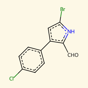 O=Cc1[nH]c(Br)cc1-c1ccc(Cl)cc1